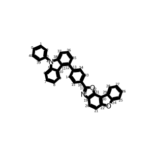 c1ccc(-n2c3ccccc3c3c(-c4ccc(-c5nc6ccc7oc8ccccc8c7c6o5)cc4)cccc32)cc1